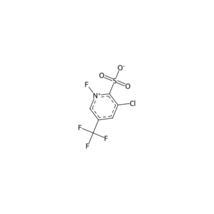 O=S(=O)([O-])c1c(Cl)cc(C(F)(F)F)c[n+]1F